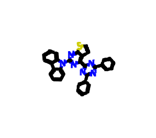 c1ccc(-c2nc(-c3ccccc3)nc(-c3nc(-n4c5ccccc5c5ccccc54)nc4sccc34)n2)cc1